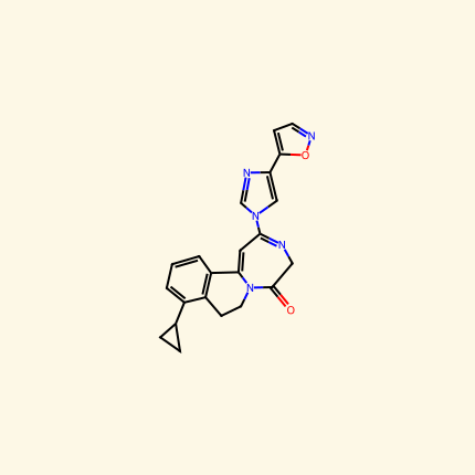 O=C1CN=C(n2cnc(-c3ccno3)c2)C=C2c3cccc(C4CC4)c3CCN12